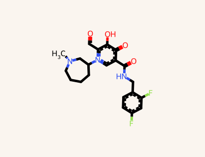 CN1CCCCC(n2cc(C(=O)NCc3ccc(F)cc3F)c(=O)c(O)c2C=O)C1